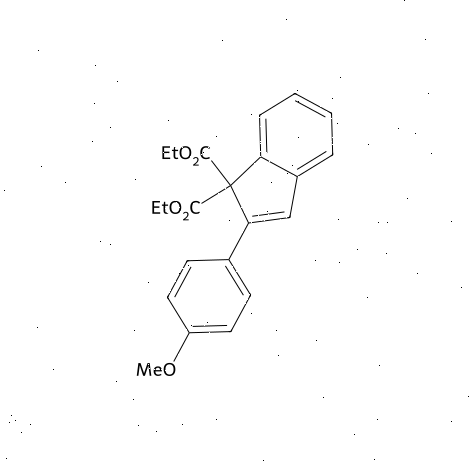 CCOC(=O)C1(C(=O)OCC)C(c2ccc(OC)cc2)=Cc2ccccc21